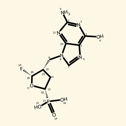 Nc1nc(O)c2ncn(C[C@@H]3C[C@H](P(=O)(O)O)O[C@@H]3F)c2n1